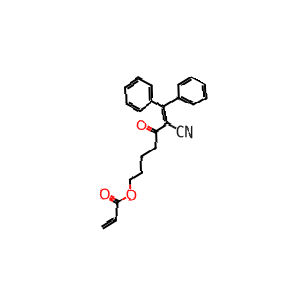 C=CC(=O)OCCCCC(=O)C(C#N)=C(c1ccccc1)c1ccccc1